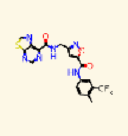 Cc1ccc(NC(=O)c2cc(CNC(=O)c3ncnc4scnc34)no2)cc1C(F)(F)F